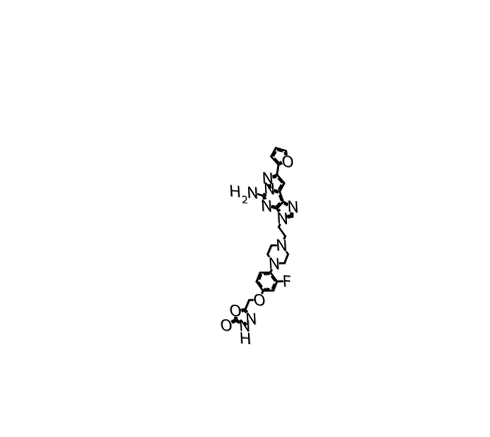 Nc1nc2c(ncn2CCN2CCN(c3ccc(OCc4n[nH]c(=O)o4)cc3F)CC2)c2cc(-c3ccco3)nn12